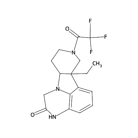 CCC12CN(C(=O)C(F)(F)F)CCC1N1CC(=O)Nc3cccc2c31